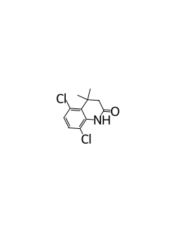 CC1(C)CC(=O)Nc2c(Cl)ccc(Cl)c21